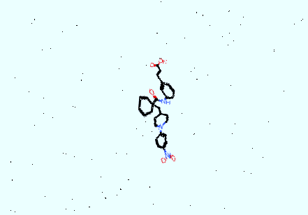 O=C(O)/C=C/c1cccc(NC(=O)C2(CC3CCN(c4ccc([N+](=O)[O-])cc4)CC3)CCCCC2)c1